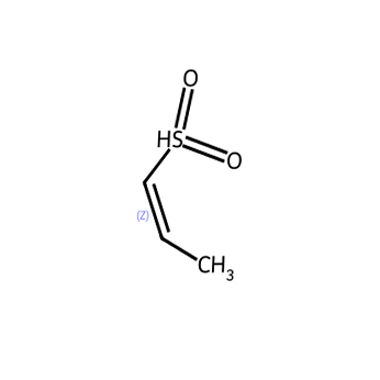 C/C=C\[SH](=O)=O